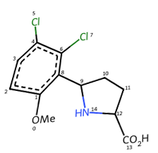 COc1ccc(Cl)c(Cl)c1C1CCC(C(=O)O)N1